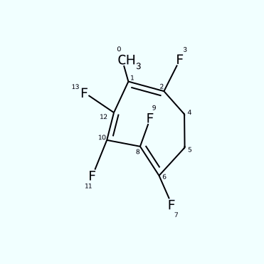 CC1=C(\F)CC/C(F)=C(F)/C(F)=C\1F